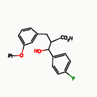 CC(C)Oc1cccc(CC(C(=O)O)C(O)c2ccc(F)cc2)c1